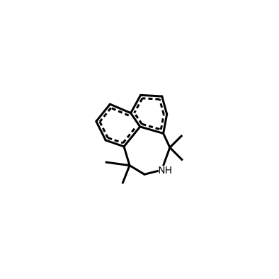 CC1(C)CNC(C)(C)c2cccc3cccc1c23